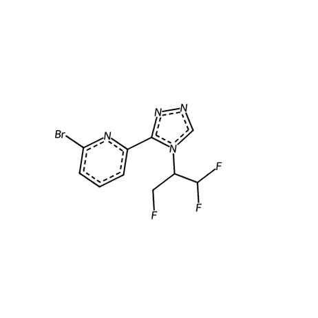 FCC(C(F)F)n1cnnc1-c1cccc(Br)n1